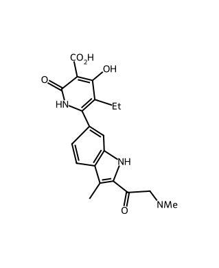 CCc1c(-c2ccc3c(C)c(C(=O)CNC)[nH]c3c2)[nH]c(=O)c(C(=O)O)c1O